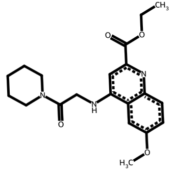 CCOC(=O)c1cc(NCC(=O)N2CCCCC2)c2cc(OC)ccc2n1